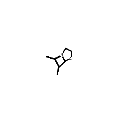 CC1C(C)N2CCOC12